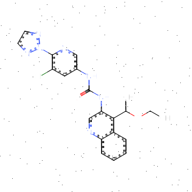 CCOC(C)c1c(NC(=O)Nc2cnc(-n3nccn3)c(Cl)c2)cnc2ccccc12